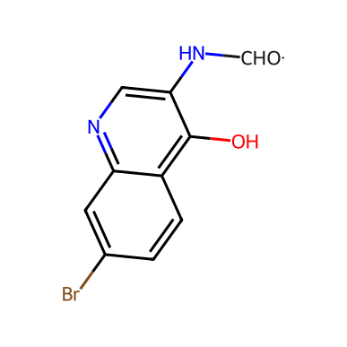 O=[C]Nc1cnc2cc(Br)ccc2c1O